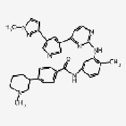 Cc1ccc(NC(=O)c2ccc(C3CCCN(C)C3)cc2)cc1Nc1nccc(-c2cncc(-c3ccn(C)n3)c2)n1